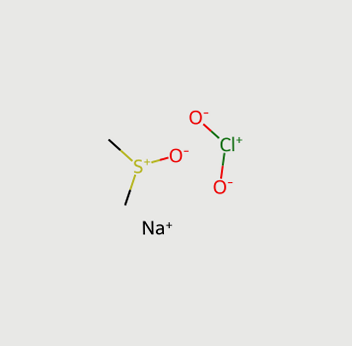 C[S+](C)[O-].[Na+].[O-][Cl+][O-]